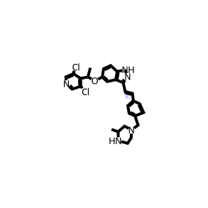 CC1CN(Cc2ccc(/C=C/c3n[nH]c4ccc(OC(C)c5c(Cl)cncc5Cl)cc34)cc2)CCN1